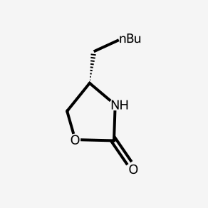 CCCCC[C@H]1COC(=O)N1